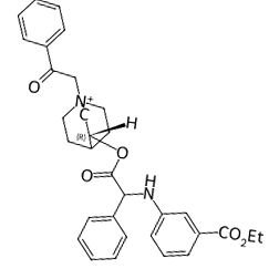 CCOC(=O)c1cccc(NC(C(=O)O[C@H]2C[N+]3(CC(=O)c4ccccc4)CCC2CC3)c2ccccc2)c1